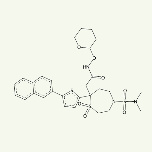 CN(C)S(=O)(=O)N1CCC(CC(=O)NOC2CCCCO2)(c2ccc(-c3ccc4ccccc4c3)s2)S(=O)(=O)CC1